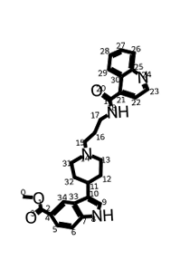 COC(=O)c1ccc2[nH]cc(C3CCN(CCCNC(=O)c4ccnc5ccccc45)CC3)c2c1